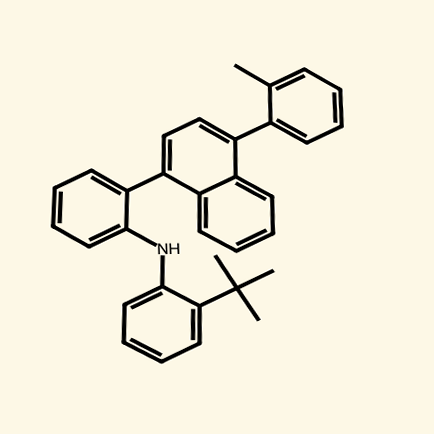 Cc1ccccc1-c1ccc(-c2ccccc2Nc2ccccc2C(C)(C)C)c2ccccc12